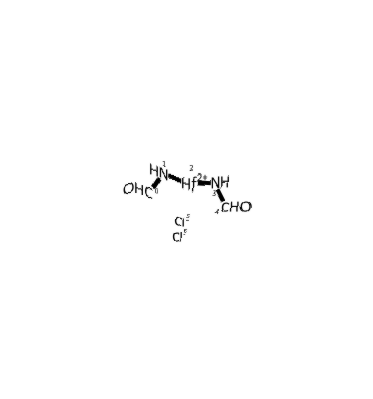 O=C[NH][Hf+2][NH]C=O.[Cl-].[Cl-]